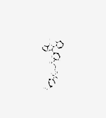 COc1ccc(S(=O)(=O)NCCNc2nccc(C3C(C4C=CC=CC4C)N=C4SC=CN43)n2)cc1